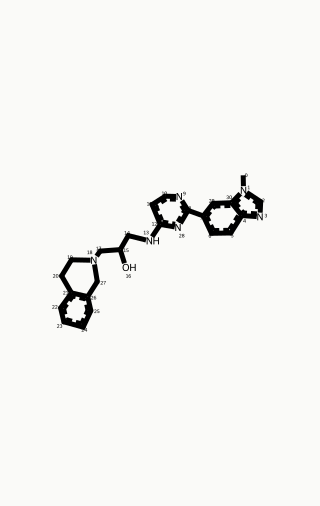 Cn1cnc2ccc(-c3nccc(NCC(O)CN4CCc5ccccc5C4)n3)cc21